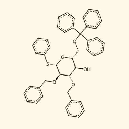 O[C@H]1[C@H](OCc2ccccc2)[C@@H](OCc2ccccc2)[C@H](Sc2ccccc2)O[C@@H]1COC(c1ccccc1)(c1ccccc1)c1ccccc1